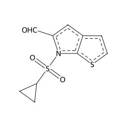 O=Cc1cc2ccsc2n1S(=O)(=O)C1CC1